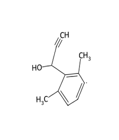 C#CC(O)c1c(C)[c]ccc1C